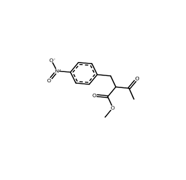 COC(=O)C(Cc1ccc([N+](=O)[O-])cc1)C(C)=O